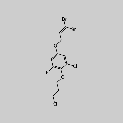 Fc1cc(OCC=C(Br)Br)cc(Cl)c1OCCCCl